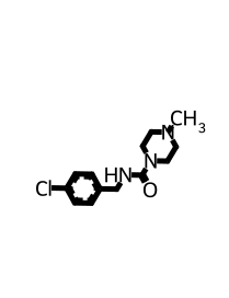 CN1CCN(C(=O)NCc2ccc(Cl)cc2)CC1